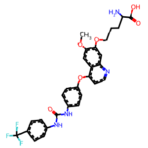 COc1cc2c(Oc3ccc(NC(=O)Nc4ccc(C(F)(F)F)cc4)cc3)ccnc2cc1OCCCC(N)C(=O)O